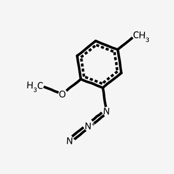 COc1ccc(C)cc1N=[N+]=[N-]